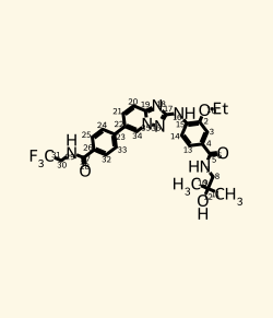 CCOc1cc(C(=O)NCC(C)(C)O)ccc1Nc1nc2ccc(-c3ccc(C(=O)NCC(F)(F)F)cc3)cn2n1